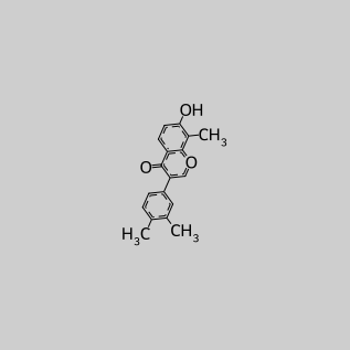 Cc1ccc(-c2coc3c(C)c(O)ccc3c2=O)cc1C